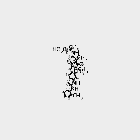 Cc1ccccc1NC(=O)Nc1ccc(CN2C(=O)N(C(C)C(=O)NC(C)CC(=O)O)C(=O)C2(C)C)cc1